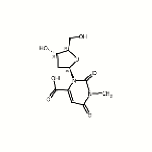 Cn1c(=O)cc(C(=O)O)n([C@H]2C[C@H](O)[C@@H](CO)O2)c1=O